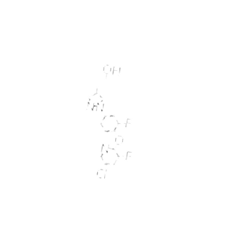 OCCc1cnn(-c2ccc(Oc3ncc(Cl)cc3F)c(F)c2)c1